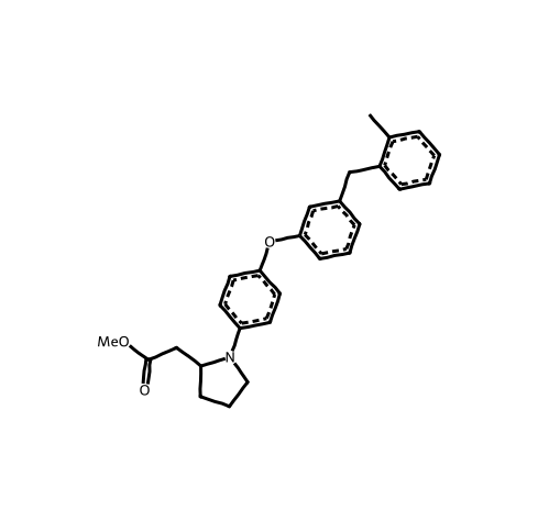 COC(=O)CC1CCCN1c1ccc(Oc2cccc(Cc3ccccc3C)c2)cc1